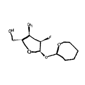 OC[C@H]1O[C@H](OC2CCCCO2)[C@H](F)[C@@H]1O